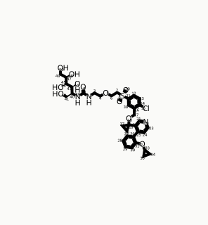 O=C(NCCOCCS(=O)(=O)c1ccc(Cl)c(COC2(c3cnccc3-c3ccccc3OC3CC3)CC2)c1)N[C@@H](CO)[C@@H](O)[C@H](O)[C@H](O)CO